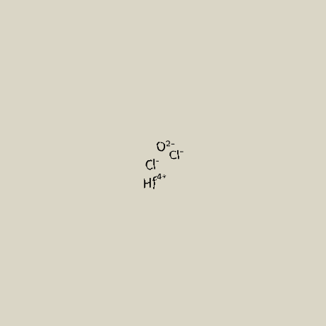 [Cl-].[Cl-].[Hf+4].[O-2]